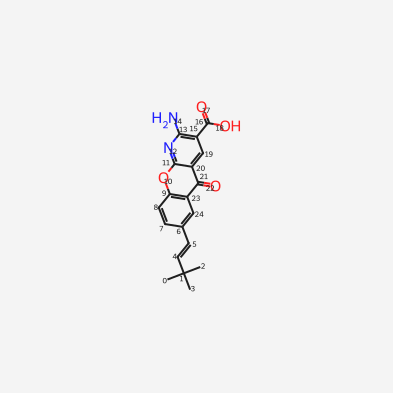 CC(C)(C)C=Cc1ccc2oc3nc(N)c(C(=O)O)cc3c(=O)c2c1